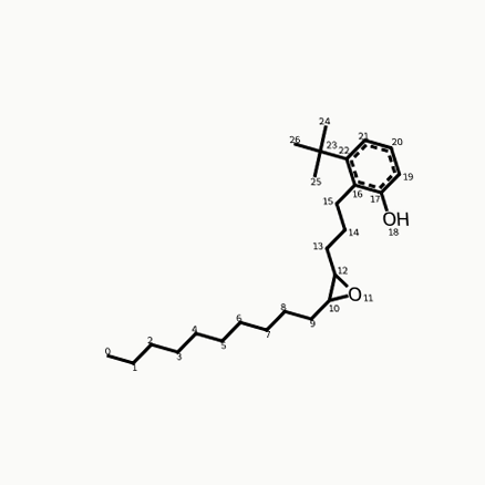 CCCCCCCCCCC1OC1CCCc1c(O)cccc1C(C)(C)C